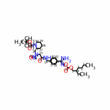 CCCCC(CC)COC(=O)O/N=C(\N)c1ccc(CNC(=O)CN(C[C@@H]2CCCCN2C(=O)OC(C)(C)C)N=O)cc1